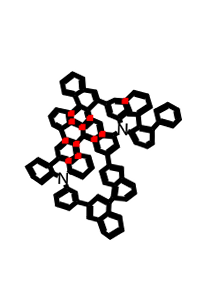 c1ccc(-c2ccccc2N(c2cccc(-c3cc(-c4cccc5cc(-c6cccc(N(c7cccc(-c8cc9ccccc9c9ccccc89)c7)c7cccc(-c8ccccc8)c7-c7ccccc7)c6)ccc45)c4ccccc4c3)c2)c2cccc(-c3cc4ccccc4c4ccccc34)c2)cc1